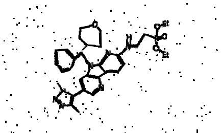 CCOP(=O)(CCNc1ccc2c3ncc(-c4c(C)nnn4C)cc3n([C@H](c3ccccc3)C3CCOCC3)c2n1)OCC